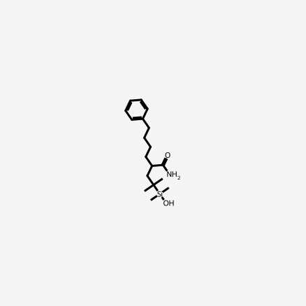 CC(C)(CC(CCCCc1ccccc1)C(N)=O)[Si](C)(C)O